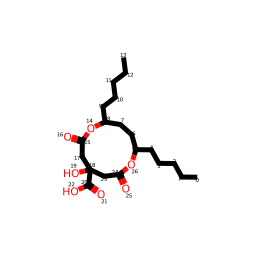 CCCCCC1CCC(CCCCC)OC(=O)CC(O)(C(=O)O)CC(=O)O1